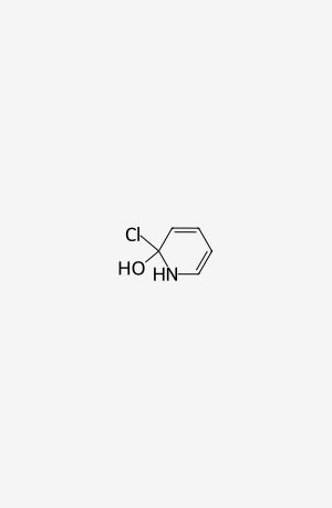 OC1(Cl)C=CC=CN1